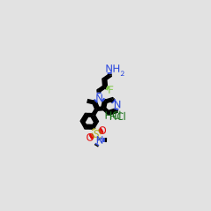 Cc1c(-c2cccc(S(=O)(=O)N(C)C)c2)c2ccncc2n1CC(F)=CCN.Cl.Cl